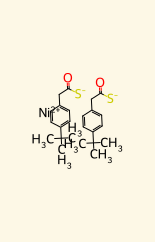 CC(C)(C)c1ccc(CC(=O)[S-])cc1.CC(C)(C)c1ccc(CC(=O)[S-])cc1.[Ni+2]